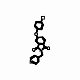 O=C1c2ccc(Oc3ccc(Cl)cc3)cc2C(=O)N1Cc1ccncc1